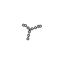 CC1(C)C(c2ccc(-c3ccc(N(c4ccc(-c5ccc(-c6ccccc6)cc5)cc4)c4ccc(-c5ccc6ccccc6c5)cc4)cc3)cc2)=Cc2ccccc21